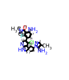 Cc1cnn([C@@H]2CC[C@@]3(CNc4ncc(-c5ccc(N)c(C(=O)N(C)C)c5F)c(Cl)c43)C2)c1N